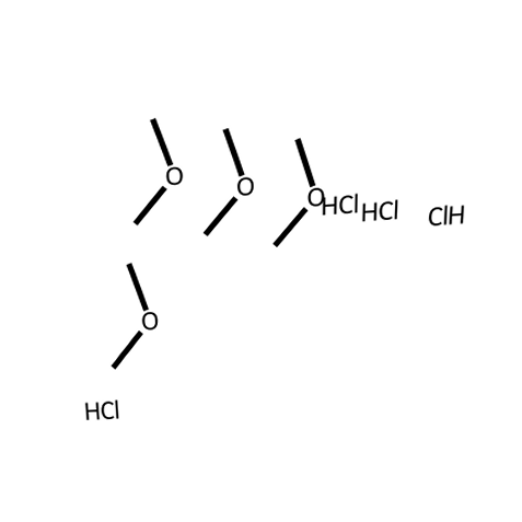 COC.COC.COC.COC.Cl.Cl.Cl.Cl